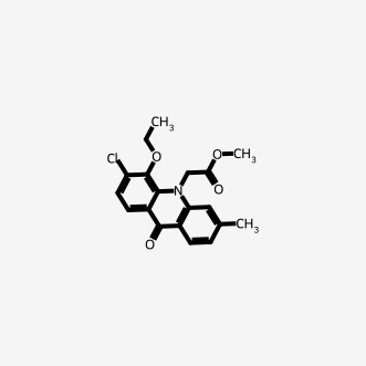 CCOc1c(Cl)ccc2c(=O)c3ccc(C)cc3n(CC(=O)OC)c12